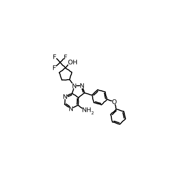 Nc1ncnc2c1c(-c1ccc(Oc3ccccc3)cc1)nn2C1CCC(O)(C(F)(F)F)C1